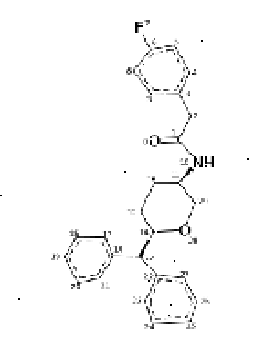 O=C(Cc1ccc(F)cc1)N[C@@H]1CC[C@H](C(c2ccccc2)c2ccccc2)OC1